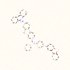 CC1(C)c2cc(N(c3ccccc3)c3ccc(-c4ccc5oc6ccccc6c5c4)cc3)ccc2-c2ccc(-n3c4ccccc4c4ccccc43)cc21